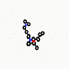 c1ccc(-c2cccc(-c3ccccc3N(c3ccc(-c4ccc(-c5cccc(-n6c7ccccc7c7ccccc76)c5)cc4)cc3)c3ccc(-c4cccc(-c5ccc6ccccc6c5)c4)cc3)c2)cc1